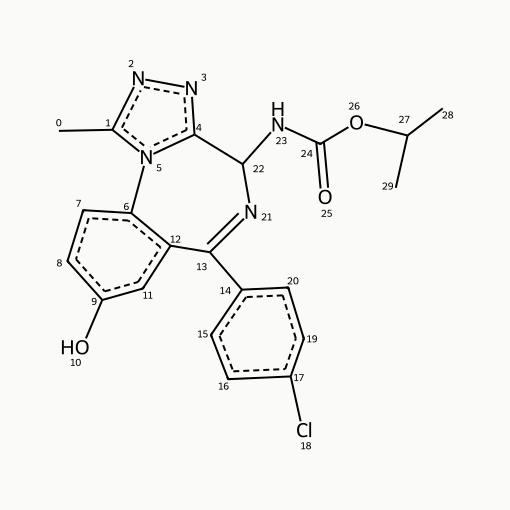 Cc1nnc2n1-c1ccc(O)cc1C(c1ccc(Cl)cc1)=NC2NC(=O)OC(C)C